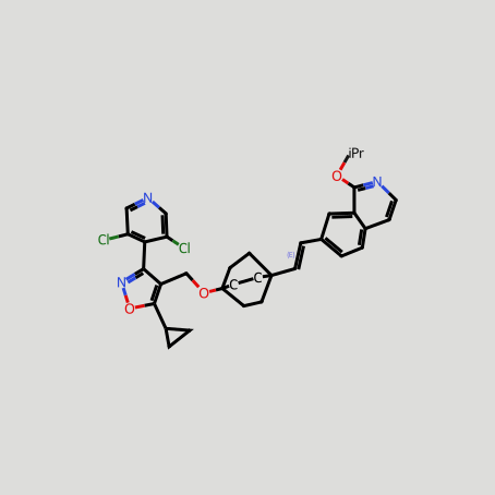 CC(C)Oc1nccc2ccc(/C=C/C34CCC(OCc5c(-c6c(Cl)cncc6Cl)noc5C5CC5)(CC3)CC4)cc12